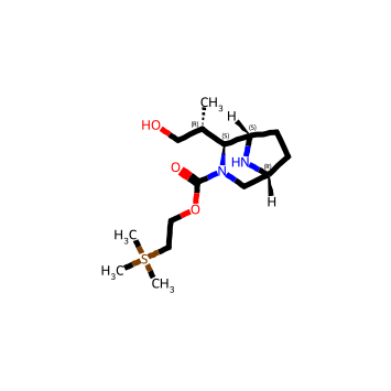 C[C@@H](CO)[C@H]1[C@@H]2CC[C@H](CN1C(=O)OCCS(C)(C)C)N2